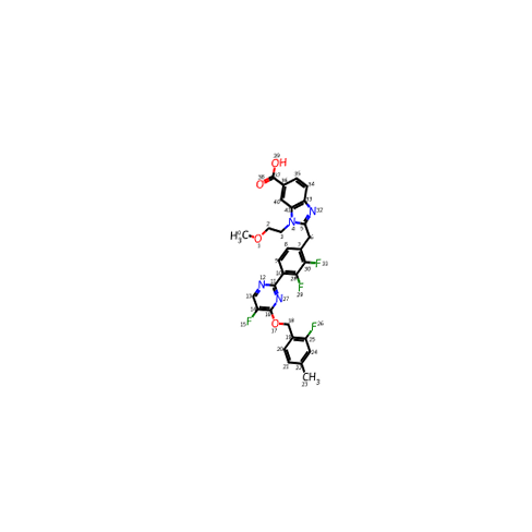 COCCn1c(Cc2ccc(-c3ncc(F)c(OCc4ccc(C)cc4F)n3)c(F)c2F)nc2ccc(C(=O)O)cc21